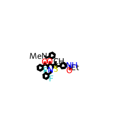 CCC(=O)Nc1ccc(-c2sc3c(c2C)c(=O)c(C(=O)c2ccccc2)cn3Cc2c(F)cccc2F)cc1.CNCc1ccccc1